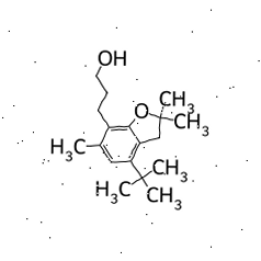 Cc1cc(C(C)(C)C)c2c(c1CCCO)OC(C)(C)C2